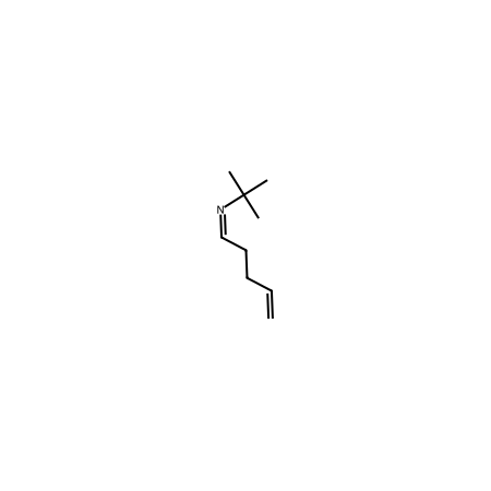 C=CCC/C=N\C(C)(C)C